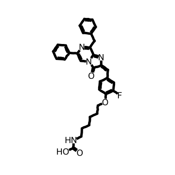 O=C(O)NCCCCCCOc1ccc(C=C2N=C3C(Cc4ccccc4)=NC(c4ccccc4)=CN3C2=O)cc1F